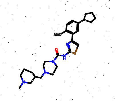 COc1ccc(C2CCCC2)cc1-c1csc(NC(=O)N2CCN(CC3CCCN(C)C3)CC2)n1